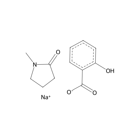 CN1CCCC1=O.O=C([O-])c1ccccc1O.[Na+]